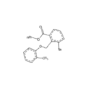 CCCOC(=O)c1cccc(Br)c1COc1ccccc1C